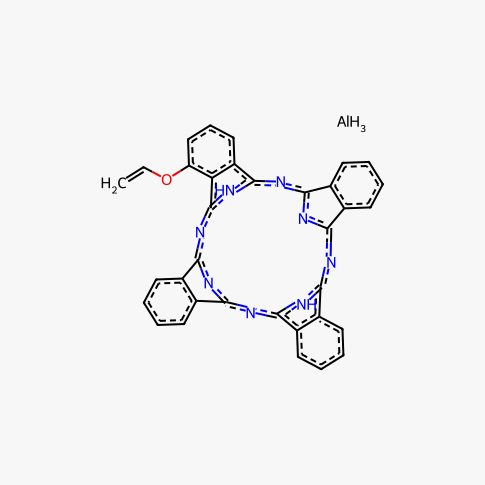 C=COc1cccc2c3nc4nc(nc5[nH]c(nc6nc(nc([nH]3)c12)-c1ccccc1-6)c1ccccc51)-c1ccccc1-4.[AlH3]